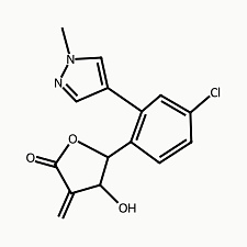 C=C1C(=O)OC(c2ccc(Cl)cc2-c2cnn(C)c2)C1O